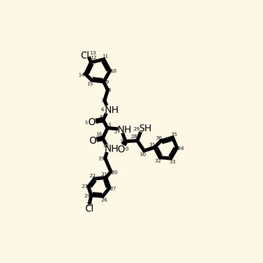 O=C(NC(C(=O)NCCc1ccc(Cl)cc1)C(=O)NCCc1ccc(Cl)cc1)C(S)Cc1ccccc1